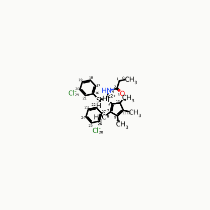 CCC(=O)[NH][Hf+2]([C]1=C(C)C(C)=C(C)C1C)[SiH](c1ccccc1)c1ccccc1.[Cl-].[Cl-]